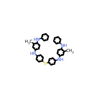 Cc1cc(Nc2ccc(Sc3ccc(Nc4ccc(Nc5ccccc5)c(C)c4)cc3)cc2)ccc1Nc1ccccc1